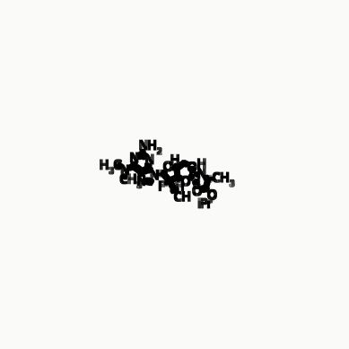 C#C[C@@]1(F)[C@@H]2OP(=S)(N[C@@H](C)C(=O)OC(C)C)OC[C@H]2O[C@H]1n1cnc2c(N(C)C)nc(N)nc21